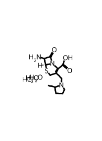 CC1CCCN1CC1=C(C(=O)O)N2C(=O)C(N)[C@@H]2SC1.Cl.O.O